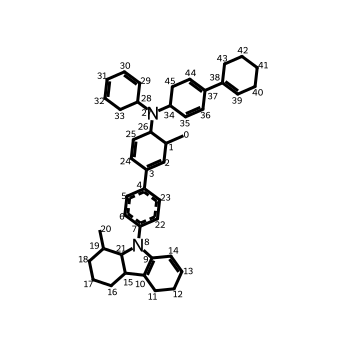 CC1C=C(c2ccc(N3C4=C(CCC=C4)C4CCCC(C)C43)cc2)C=CC1N(C1C=CC=CC1)C1C=CC(C2=CCCCC2)=CC1